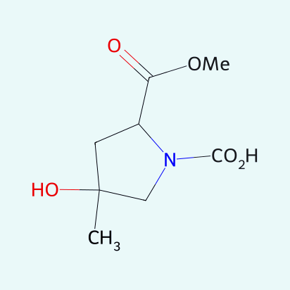 COC(=O)C1CC(C)(O)CN1C(=O)O